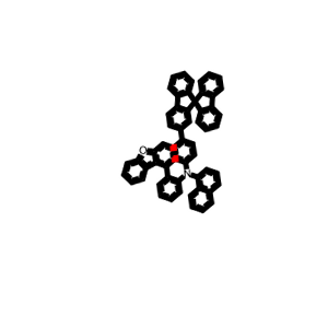 c1ccc(N(c2ccc(-c3ccc4c(c3)C3(c5ccccc5-c5ccccc53)c3ccccc3-4)cc2)c2cccc3ccccc23)c(-c2cccc3oc4ccccc4c23)c1